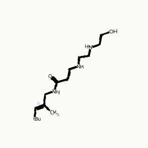 C/C(=C\C(C)(C)C)CNC(=O)CCNCCNCCO